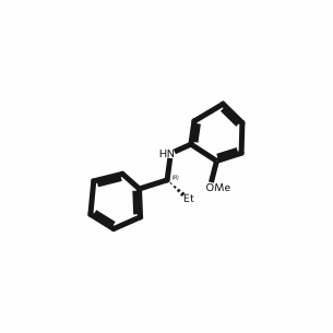 CC[C@@H](Nc1ccccc1OC)c1ccccc1